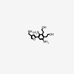 NCc1coc(-c2cc(N)c(CCO)c(CCO)c2N)c1